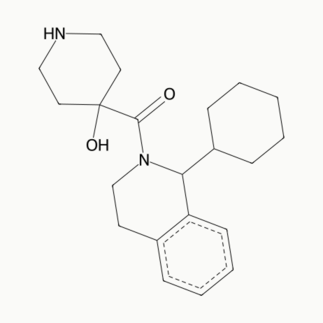 O=C(N1CCc2ccccc2C1C1CCCCC1)C1(O)CCNCC1